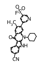 Cc1cc2c(=O)c3c4ccc(C#N)cc4[nH]c3n(C3CCCCC3)c2cc1-c1cncc(S(=O)(=O)F)c1